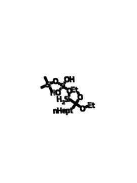 CCCCCCCC(OCC)(OCC)[SiH2]O[Si](O)(O)O[Si](C)(C)C